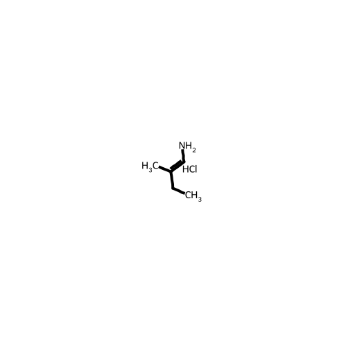 CCC(C)=CN.Cl